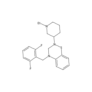 CCN1CCCC(N2CN(Cc3c(F)cccc3F)c3ccccc3S2)C1